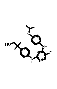 CC(C)Oc1ccc(Nc2nc(Nc3ccc(C(C)(C)CO)cc3)ncc2F)cc1